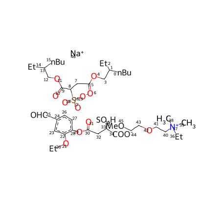 CCCCC(CC)COC(=O)CC(C(=O)OCC(CC)CCCC)S(=O)(=O)[O-].CCOc1cc(C=O)ccc1OC(=O)CC(C(=O)[O-])S(=O)(=O)O.CC[N+](C)(C)CCOCCOC.[Na+]